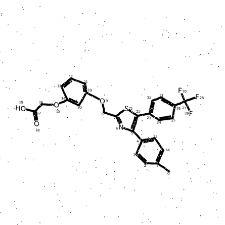 Cc1ccc(-c2nc(COc3cccc(OCC(=O)O)c3)sc2-c2ccc(C(F)(F)F)cc2)cc1